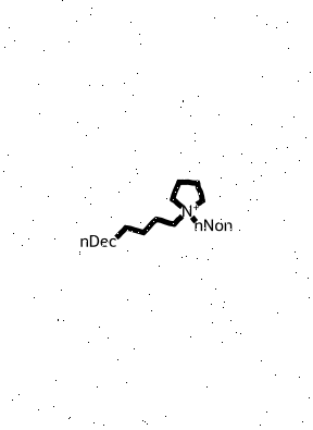 CCCCCCCCCCCCCC[N+]1(CCCCCCCCC)CCCC1